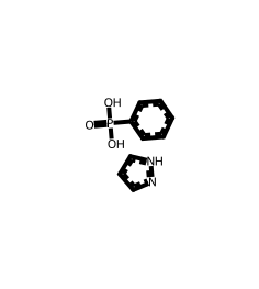 O=P(O)(O)c1ccccc1.c1cn[nH]c1